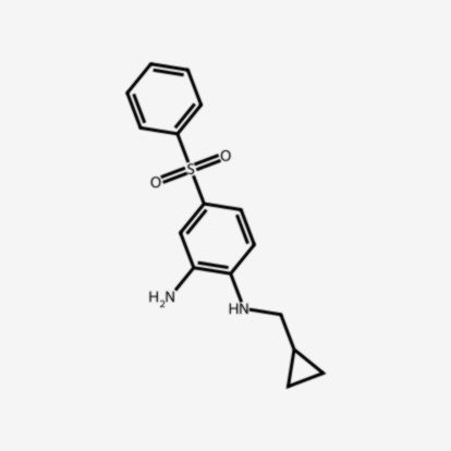 Nc1cc(S(=O)(=O)c2ccccc2)ccc1NCC1CC1